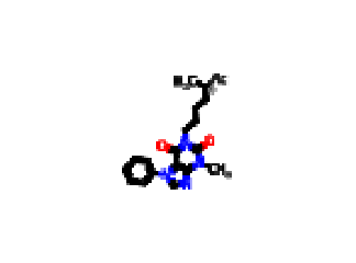 CC(=O)[C@H](C)CCCCn1c(=O)c2c(ncn2-c2ccccc2)n(C)c1=O